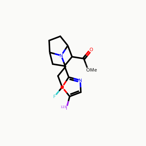 COC(=O)C1C(c2ncc([123I])o2)CC2CCC1N2CCCF